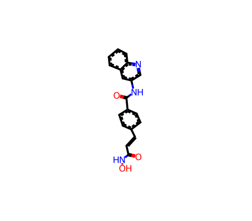 O=C(C=Cc1ccc(C(=O)Nc2cnc3ccccc3c2)cc1)NO